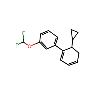 FC(F)Oc1cccc(C2=CC=CCC2C2CC2)c1